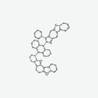 c1ccc(-c2c(-c3c4ccccc4c(-c4cccc5c4oc4c5ccc5oc6ccccc6c54)c4ccccc34)sc3cc4c(cc23)sc2ccccc24)cc1